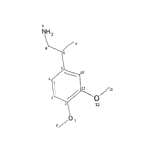 COc1ccc(C(C)CN)cc1OC